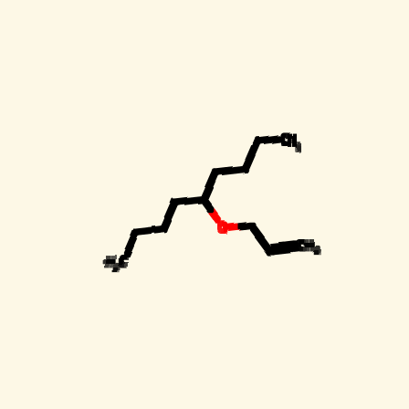 [CH2]CCCC(CCCC)OCC=C